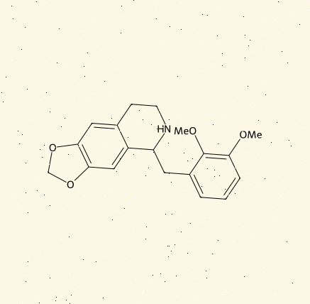 COc1cccc(CC2NCCc3cc4c(cc32)OCO4)c1OC